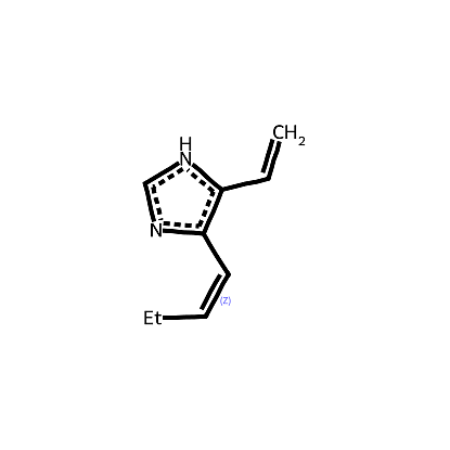 C=Cc1[nH]cnc1/C=C\CC